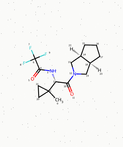 CC1([C@H](NC(=O)C(F)(F)F)C(=O)N2C[C@H]3CCC[C@H]3C2)CC1